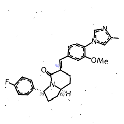 COc1cc(/C=C2\CC[C@H]3CC[C@H](c4ccc(F)cc4)N3C2=O)ccc1-n1cnc(C)c1